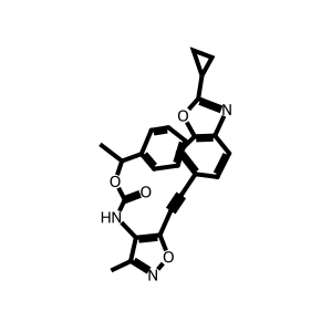 Cc1noc(C#Cc2ccc3nc(C4CC4)oc3c2)c1NC(=O)OC(C)c1ccccc1